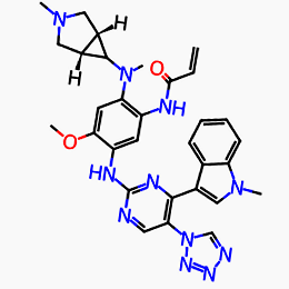 C=CC(=O)Nc1cc(Nc2ncc(-n3cnnn3)c(-c3cn(C)c4ccccc34)n2)c(OC)cc1N(C)C1[C@H]2CN(C)C[C@@H]12